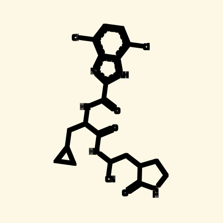 N#CC(CC1CCNC1=O)NC(=O)C(CC1CC1)NC(=O)c1nc2c(Cl)ccc(Cl)c2[nH]1